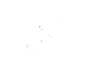 CC(C)C[C@H]1CSC(=Nc2cccc(Cl)c2Cl)N1CC(C)C